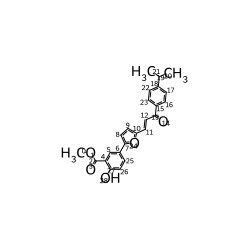 COC(=O)c1cc(-c2ccc(/C=C/C(=O)c3ccc(C(C)C)cc3)o2)ccc1O